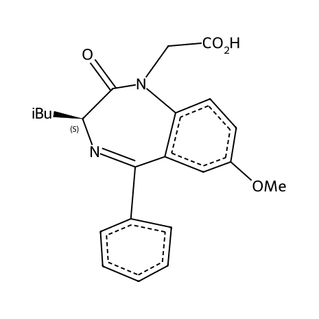 CCC(C)[C@@H]1N=C(c2ccccc2)c2cc(OC)ccc2N(CC(=O)O)C1=O